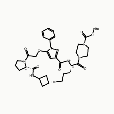 CCCCOC(=O)N1CCN(C(=O)[C@H](CCCO)NC(=O)c2cc(OCC(=O)N3CCC[C@H]3C(=O)NC3CCC3)n(-c3ccccc3)n2)CC1